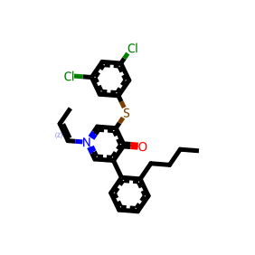 C/C=C\n1cc(Sc2cc(Cl)cc(Cl)c2)c(=O)c(-c2ccccc2CCCC)c1